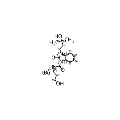 CC(C)(O)CCn1c(=O)n(C(=O)N[C@H](CCO)C(C)(C)C)c2ccccc21